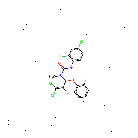 CN(C(=O)Nc1ccc(Cl)cc1Cl)C(Oc1ccccc1F)C(Br)=C(Cl)Cl